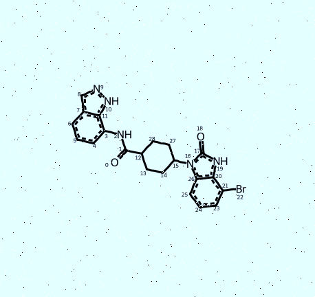 O=C(Nc1cccc2cn[nH]c12)C1CCC(n2c(=O)[nH]c3c(Br)cccc32)CC1